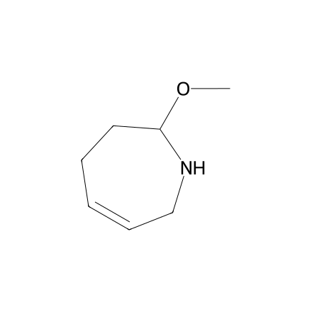 COC1CCC=CCN1